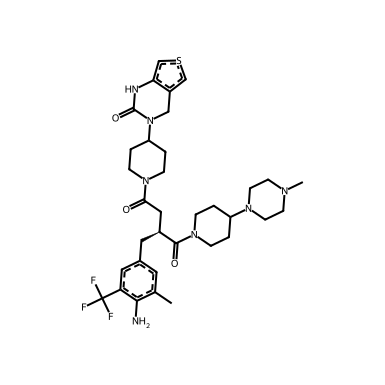 Cc1cc(C[C@@H](CC(=O)N2CCC(N3Cc4cscc4NC3=O)CC2)C(=O)N2CCC(N3CCN(C)CC3)CC2)cc(C(F)(F)F)c1N